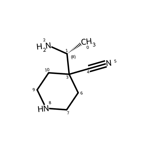 C[C@@H](N)C1(C#N)CCNCC1